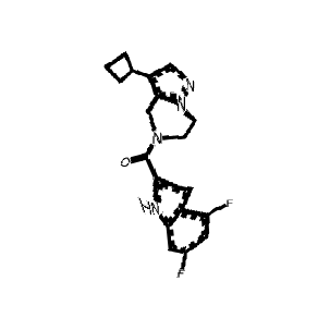 O=C(c1cc2c(F)cc(F)cc2[nH]1)N1CCn2ncc(C3CCC3)c2C1